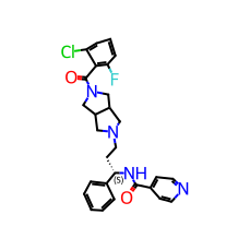 O=C(N[C@@H](CCN1CC2CN(C(=O)c3c(F)cccc3Cl)CC2C1)c1ccccc1)c1ccncc1